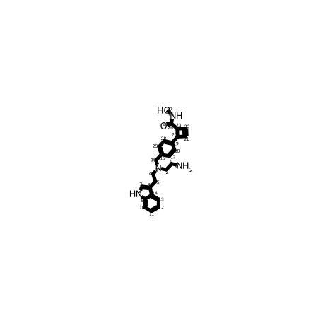 NCCN(CCc1c[nH]c2ccccc12)Cc1ccc(C2C#CC2C(=O)NO)cc1